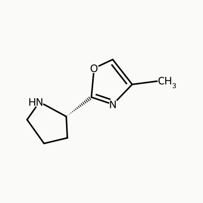 Cc1coc([C@@H]2CCCN2)n1